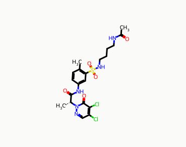 CC(=O)NCCCCNS(=O)(=O)c1cc(NC(=O)[C@@H](C)n2ncc(Cl)c(Cl)c2=O)ccc1C